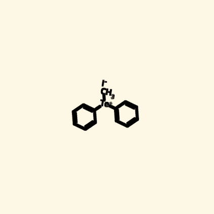 C[Te+](c1ccccc1)c1ccccc1.[I-]